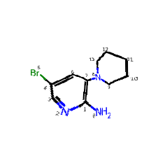 Nc1ncc(Br)cc1N1CCCCC1